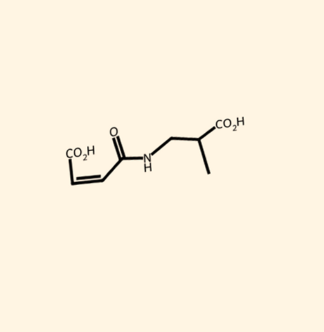 CC(CNC(=O)/C=C\C(=O)O)C(=O)O